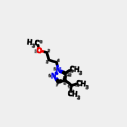 COCCCn1ncc(C(C)C)c1C